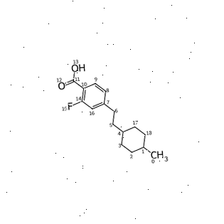 CC1CCC(CCc2ccc(C(=O)O)c(F)c2)CC1